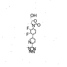 Cn1nnnc1-c1ccc(-c2ccc(N3C[C@H](CO)OC3=O)c(F)c2F)cn1